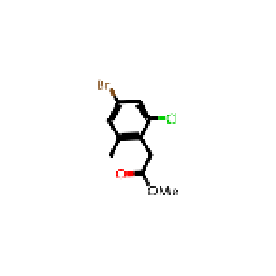 COC(=O)Cc1c(C)cc(Br)cc1Cl